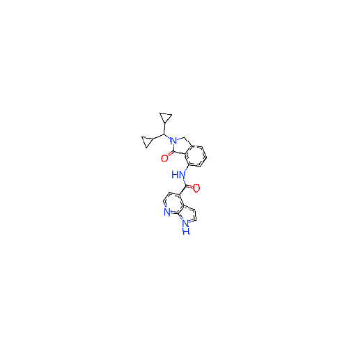 O=C(Nc1cccc2c1C(=O)N(C(C1CC1)C1CC1)C2)c1ccnc2[nH]ccc12